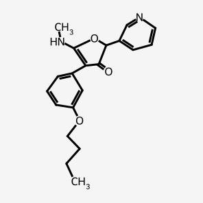 CCCCOc1cccc(C2=C(NC)OC(c3cccnc3)C2=O)c1